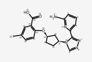 Nc1cccc(-c2nncn2[C@H]2CC[C@@H](Oc3ccc(I)cc3C(=O)O)C2)n1